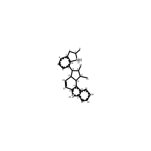 CC1Cc2cccc(C3C(C)C(C)C4c5c(sc6ccccc56)C=CC34)c2N1